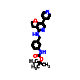 CC(C)(C)OC(=O)Nc1cccc(CNc2ncc(-c3ccncc3)c3c2CCO3)c1